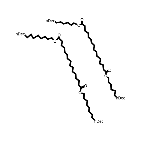 CCCCCCCCCCCCCCCCCCOC(=O)CCCCCCCCCCCCCCC(=O)OCCCCCCCCCCCCCCCCCC.CCCCCCCCCCCCCCCCOC(=O)CCCCCCCCCCCCCCC(=O)OCCCCCCCCCCCCCCCC